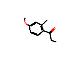 CCC(=O)c1ccc(OC)cc1C